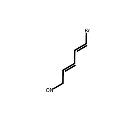 O=NC/C=C/C=C/Br